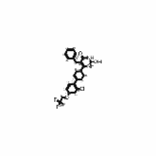 O=C1NC(O)NC(C2CC=C(c3ccc(OCC(F)(F)F)cc3Cl)CC2)=C1Cc1ccccc1